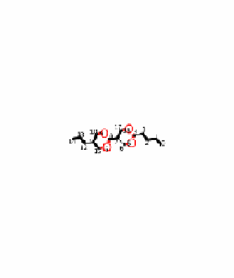 CCCC[C@H]1OC[C@H]([C@H]2OC[C@H](CCC)CO2)CO1